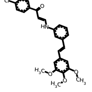 COc1cc(C=Cc2cccc(NC=CC(=O)c3ccc(Cl)cc3)c2)cc(OC)c1OC